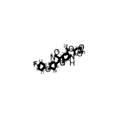 CNC(=O)c1c(-c2ccc(Oc3ccc(F)cc3)cc2)oc2cc3c(cc12)C(C)OC(CS(C)(=O)=O)CN3